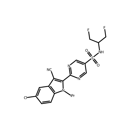 CC(C)n1c(-c2ncc(S(=O)(=O)NC(CF)CF)cn2)c(C#N)c2cc(Cl)ccc21